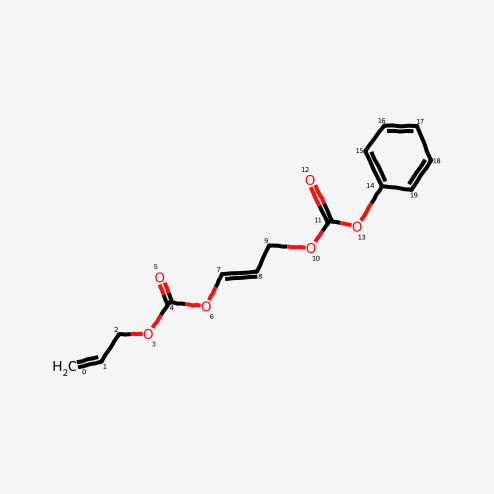 C=CCOC(=O)OC=CCOC(=O)Oc1ccccc1